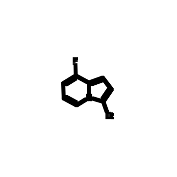 CCc1ccc2c(F)cccn12